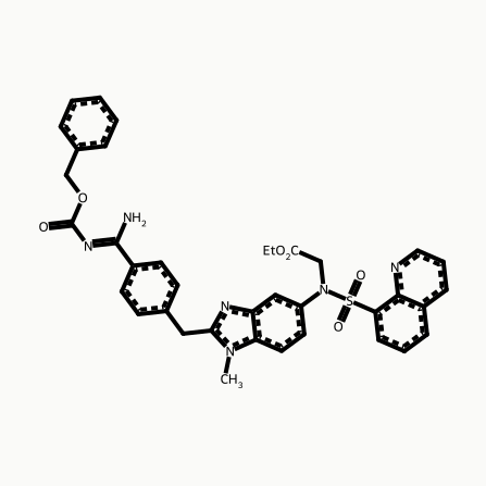 CCOC(=O)CN(c1ccc2c(c1)nc(Cc1ccc(C(N)=NC(=O)OCc3ccccc3)cc1)n2C)S(=O)(=O)c1cccc2cccnc12